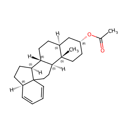 CC(=O)O[C@@H]1CC[C@@]2(C)[C@@H](CC[C@H]3[C@@H]4CC[C@@H]5C=CC=CC54CC[C@@H]32)C1